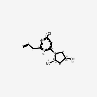 C=CCc1nc(Cl)cc(N2C[C@@H](O)C[C@H]2CC)n1